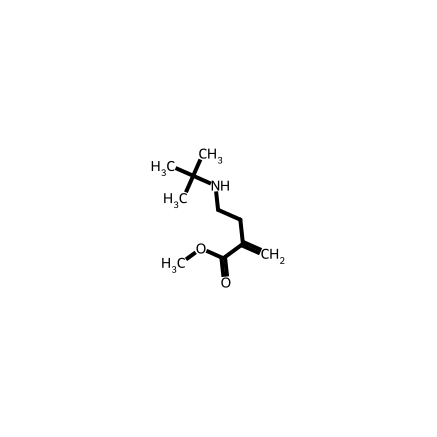 C=C(CCNC(C)(C)C)C(=O)OC